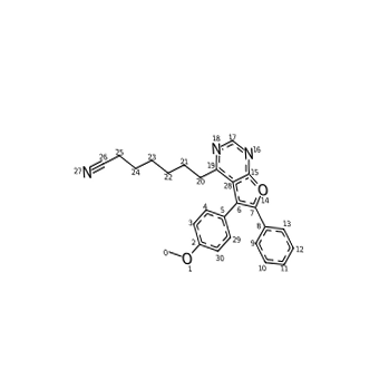 COc1ccc(-c2c(-c3ccccc3)oc3ncnc(CCCCCCC#N)c23)cc1